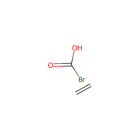 C=C.O=C(O)Br